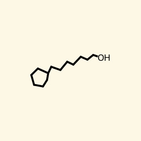 OCCCCCCCC1CCCCC1